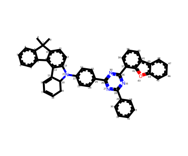 CC1(C)c2ccccc2-c2c1ccc1c2C2=CC=CCC2N1c1ccc(-c2nc(-c3ccccc3)nc(-c3cccc4c3oc3ccccc34)n2)cc1